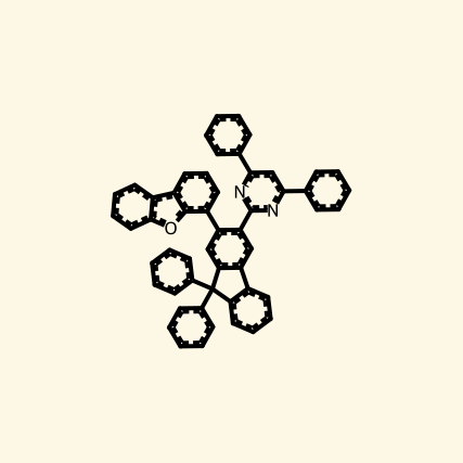 c1ccc(-c2cc(-c3ccccc3)nc(-c3cc4c(cc3-c3cccc5c3oc3ccccc35)C(c3ccccc3)(c3ccccc3)c3ccccc3-4)n2)cc1